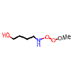 COOONCCCCO